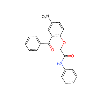 O=C(COc1ccc([N+](=O)[O-])cc1C(=O)c1ccccc1)Nc1ccccc1